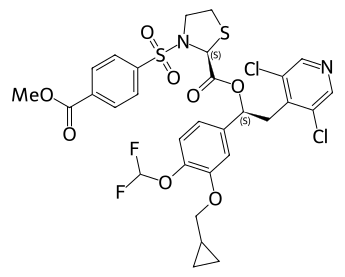 COC(=O)c1ccc(S(=O)(=O)N2CCS[C@H]2C(=O)O[C@@H](Cc2c(Cl)cncc2Cl)c2ccc(OC(F)F)c(OCC3CC3)c2)cc1